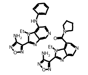 CCn1c(-c2nonc2N)nc2cncc(C(=O)N3CCCC3)c21.CCn1c(-c2nonc2N)nc2cncc(Nc3ccccc3)c21